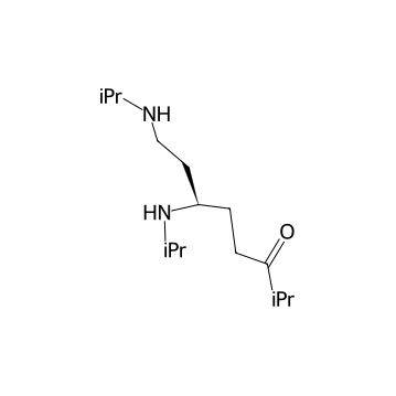 CC(C)NCC[C@@H](CCC(=O)C(C)C)NC(C)C